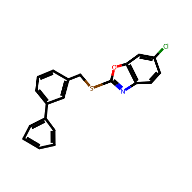 Clc1ccc2nc(SCc3cccc(-c4ccccc4)c3)oc2c1